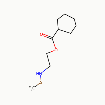 O=C(OCCNSC(F)(F)F)C1CCCCC1